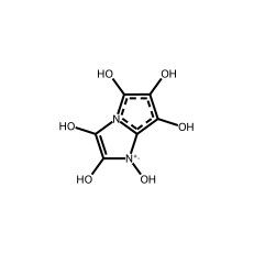 OC1=C(O)[N+](O)c2c(O)c(O)c(O)n21